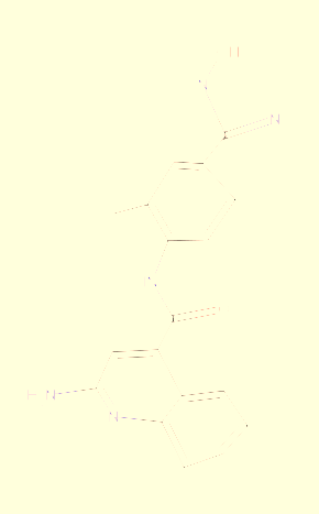 Cc1cc(C(=N)NO)ccc1NC(=O)c1cc(N)nc2ccccc12